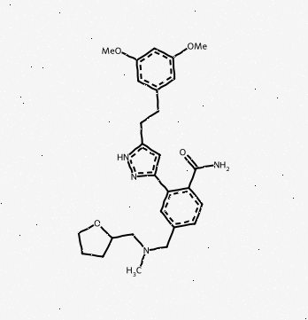 COc1cc(CCc2cc(-c3cc(CN(C)CC4CCCO4)ccc3C(N)=O)n[nH]2)cc(OC)c1